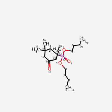 CCCCOP(=O)(OCCCC)C1(C)CC(=O)CC(C)(C)C1